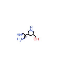 N=C/C(=C\N)C1CNCC(CO)C1